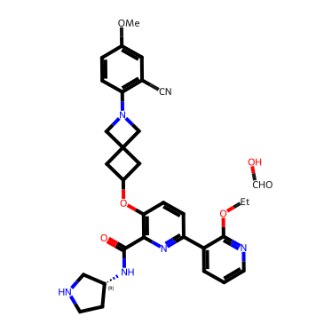 CCOc1ncccc1-c1ccc(OC2CC3(C2)CN(c2ccc(OC)cc2C#N)C3)c(C(=O)N[C@@H]2CCNC2)n1.O=CO